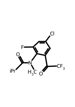 CC(C)C(=O)N(C)c1c(F)cc(Cl)cc1C(=O)C(F)(F)F